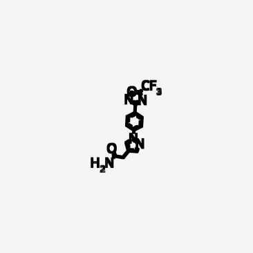 NC(=O)Cc1cnn(-c2ccc(-c3noc(C(F)(F)F)n3)cc2)c1